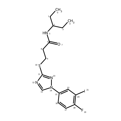 CCC(CC)NC(=O)CCSc1ncn(-c2ccc(F)c(I)c2)n1